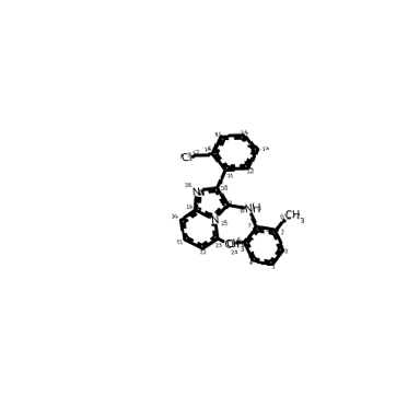 Cc1cccc(Cl)c1Nc1c(-c2ccccc2Cl)nc2cccc(C)n12